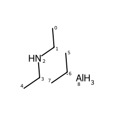 CCNCC.C[CH]C.[AlH3]